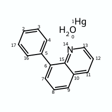 O.[Hg].c1ccc(-c2cccc3cccnc23)cc1